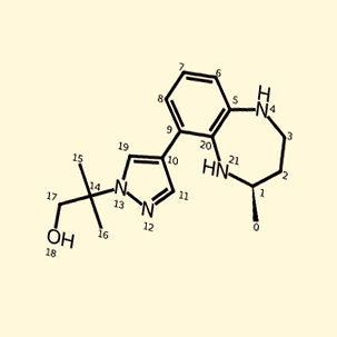 C[C@@H]1CCNc2cccc(-c3cnn(C(C)(C)CO)c3)c2N1